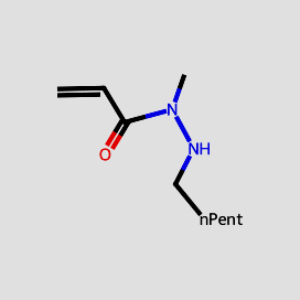 C=CC(=O)N(C)NCCCCCC